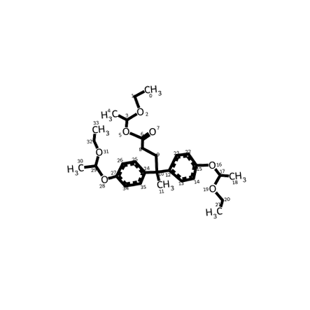 CCOC(C)OC(=O)CCC(C)(c1ccc(OC(C)OCC)cc1)c1ccc(OC(C)OCC)cc1